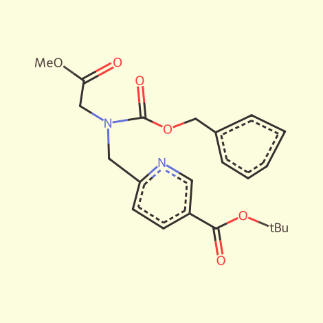 COC(=O)CN(Cc1ccc(C(=O)OC(C)(C)C)cn1)C(=O)OCc1ccccc1